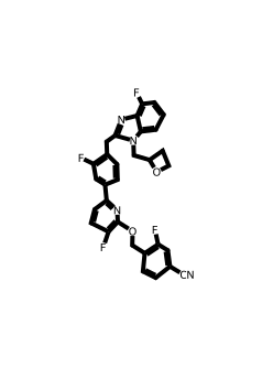 N#Cc1ccc(COc2nc(-c3ccc(Cc4nc5c(F)cccc5n4CC4CCO4)c(F)c3)ccc2F)c(F)c1